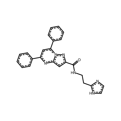 O=C(NCCc1ncc[nH]1)c1cc2nc(-c3ccccc3)cc(-c3ccccc3)n2n1